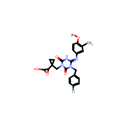 Cc1cc(/N=c2\[nH]c(=O)n(CC3(C4OC4O)CC3)c(=O)n2Cc2ccc(Cl)cc2)ccc1OC(C)C